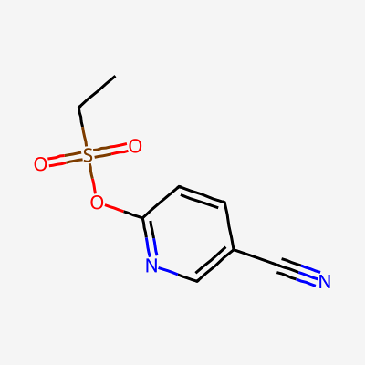 CCS(=O)(=O)Oc1ccc(C#N)cn1